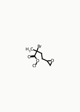 CC(Br)(CCC1CO1)C(=O)OCl